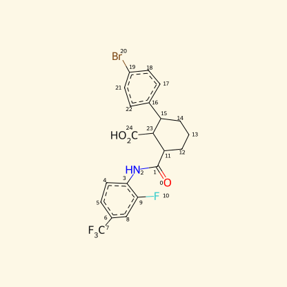 O=C(Nc1ccc(C(F)(F)F)cc1F)C1CCCC(c2ccc(Br)cc2)C1C(=O)O